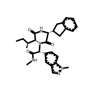 CC[C@H](C)[C@@H]1C(=O)N[C@H](C2Cc3ccccc3C2)C(=O)N1[C@@H](C(=O)NC)c1ccc2c(cnn2C)c1